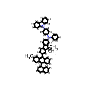 Cc1ccc2c(-c3cccc4ccccc34)c3ccccc3c(-c3ccc4c(c3)C(C)(C)c3cc(N(c5ccccc5)c5ccc(-n6c7ccccc7c7ccccc76)cc5)ccc3-4)c2c1